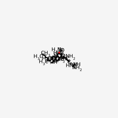 CC(C)CCC[C@@H](C)[C@H]1CC[C@H]2[C@@H]3CC=C4CC(CP(N)(=O)O)(OC(=O)[C@@H](N)CCCCNC(=N)N)CC[C@]4(C)[C@H]3CC[C@]12C